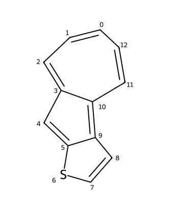 c1ccc2cc3sccc3c-2cc1